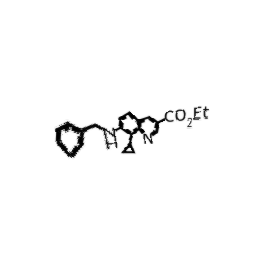 CCOC(=O)c1cnc2c(C3CC3)c(NCc3ccccc3)ccc2c1